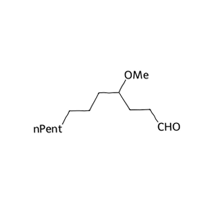 CCCCCCCCC(CCC=O)OC